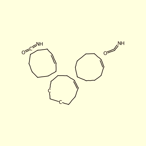 C1=CCCCCCCCC1.C1=CCCCCCCCC1.C1=CCCCCCCCC1.N=C=O.N=C=O